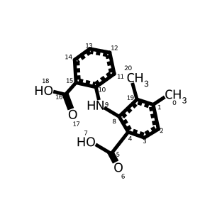 Cc1ccc(C(=O)O)c(Nc2ccccc2C(=O)O)c1C